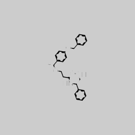 C[C@H](OCCC(=O)N[C@@H](CO)c1ccccc1)c1ccc(OCc2ccccc2)cc1